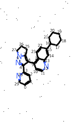 c1ccc(-c2nn3c(c2-c2ccnc4cc(C5CCCCC5)ccc24)CCC3)nc1